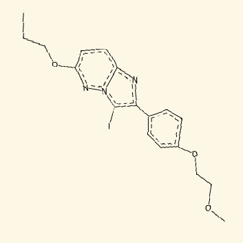 CCCOc1ccc2nc(-c3ccc(OCCOC)cc3)c(I)n2n1